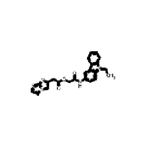 CCn1c2ccccc2c2cc(NC(=O)COC(=O)Cc3cn4ccsc4n3)ccc21